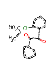 C=CC(=O)O.O=C(C(=O)c1ccccc1Cl)c1ccccc1